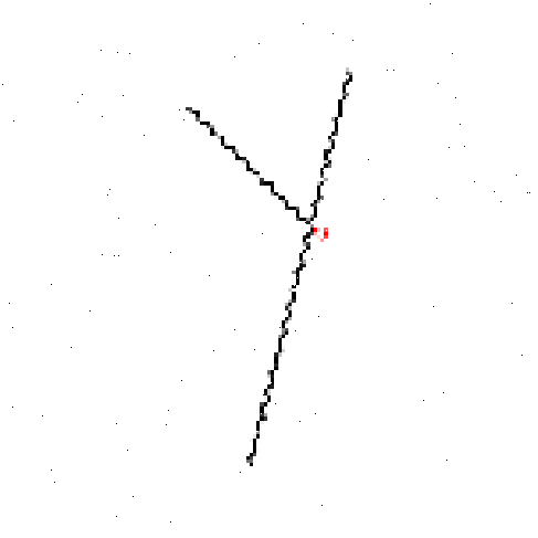 CCCCCCCCCCCCCCCCCCCCCCCCCCCCC(=O)C(CCCCCCCCCCCCCCCCCC)CCCCCCCCCCCCCCCCCCC